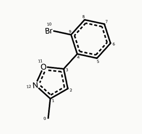 Cc1cc(-c2ccccc2Br)on1